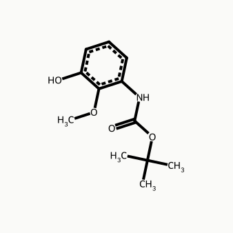 COc1c(O)cccc1NC(=O)OC(C)(C)C